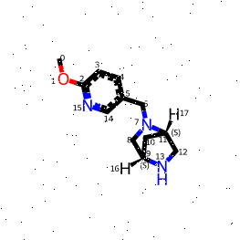 COc1ccc(CN2C[C@@H]3C[C@H]2CN3)cn1